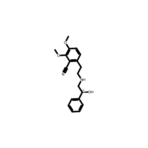 COc1ccc(CCNC[C@@H](O)c2ccccc2)c(C#N)c1OC